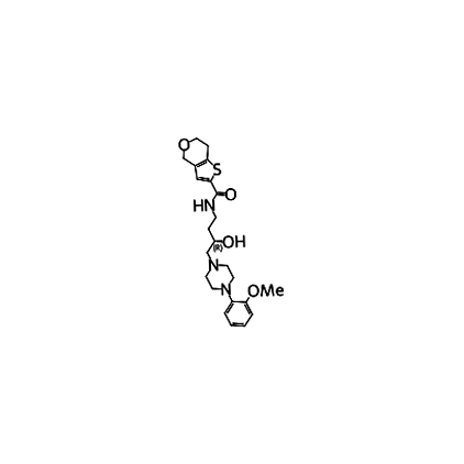 COc1ccccc1N1CCN(C[C@H](O)CCNC(=O)c2cc3c(s2)CCOC3)CC1